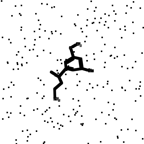 CC(CCN)c1cc(OC(F)(F)F)cc(C(C)(C)C)c1